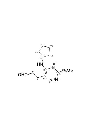 CSc1ncc(CCC=O)c(NC2CCCC2)n1